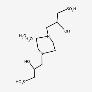 O.O.O=S(=O)(O)CC(O)CN1CCN(CC(O)CS(=O)(=O)O)CC1